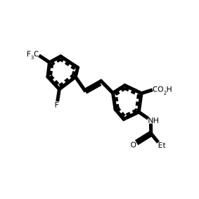 CCC(=O)Nc1ccc(/C=C/c2ccc(C(F)(F)F)cc2F)cc1C(=O)O